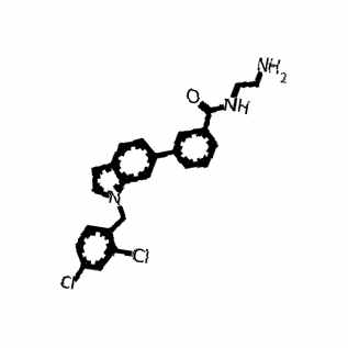 NCCNC(=O)c1cccc(-c2ccc3ccn(Cc4ccc(Cl)cc4Cl)c3c2)c1